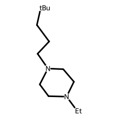 CCN1CCN(CCCC(C)(C)C)CC1